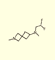 CN1CC2(CC(N(C)CC(F)F)C2)C1